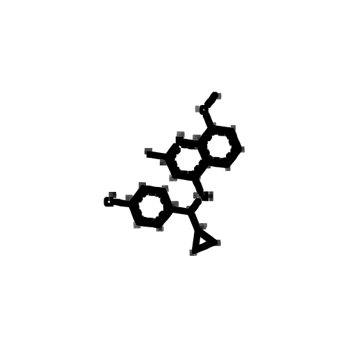 COc1cccc2c(NC(c3ccc(Cl)cc3)C3CC3)cc(C)nc12